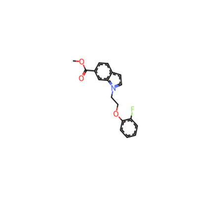 COC(=O)c1ccc2ccn(CCOc3ccccc3F)c2c1